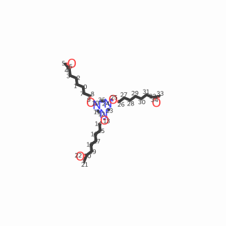 C(CCCC1CO1)CCON1CN(OCCCCCCC2CO2)CN(OCCCCCCC2CO2)C1